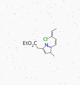 C/C=C(Cl)\C=C/C1=NC(CC(=O)OCC)=CC1C